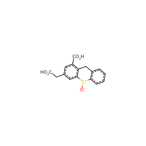 O=C(O)Cc1cc(C(=O)O)c2c(c1)[S+]([O-])c1ccccc1C2